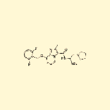 CCCC[C@H](CN1CCCC1)NC(=O)c1c(C)nc2c(OCc3c(F)cccc3F)cccn12